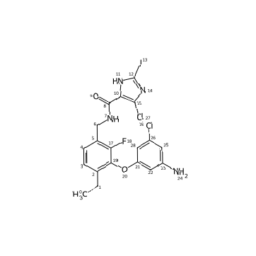 CCc1ccc(CNC(=O)c2[nH]c(I)nc2Cl)c(F)c1Oc1cc(N)cc(Cl)c1